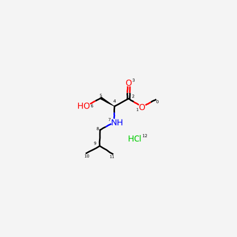 COC(=O)[C@H](CO)NCC(C)C.Cl